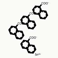 O=C([O-])c1cccc2ccccc12.O=C([O-])c1cccc2ccccc12.O=C([O-])c1cccc2ccccc12.O=C([O-])c1cccc2ccccc12.[Sn+4]